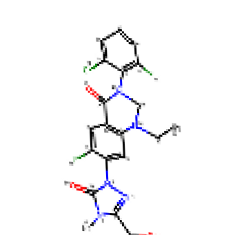 CCn1c(CO)nn(-c2cc3c(cc2F)C(=O)N(c2c(F)cccc2Cl)CN3CC(C)C)c1=O